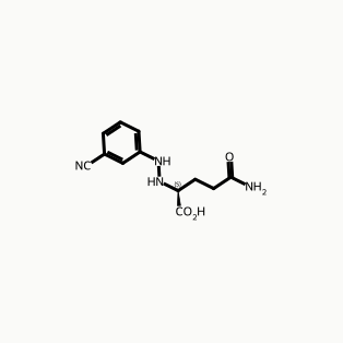 N#Cc1cccc(NN[C@@H](CCC(N)=O)C(=O)O)c1